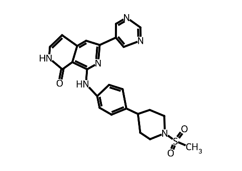 CS(=O)(=O)N1CCC(c2ccc(Nc3nc(-c4cncnc4)cc4cc[nH]c(=O)c34)cc2)CC1